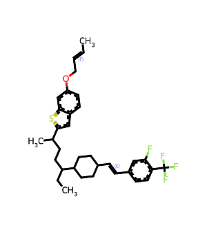 C/C=C/COc1ccc2cc(C(C)CCC(CC)C3CCC(/C=C/c4ccc(C(F)(F)F)c(F)c4)CC3)sc2c1